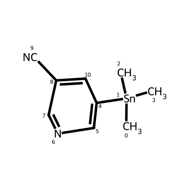 [CH3][Sn]([CH3])([CH3])[c]1cncc(C#N)c1